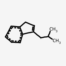 CC(C)[CH]C1=CCc2ccccc21